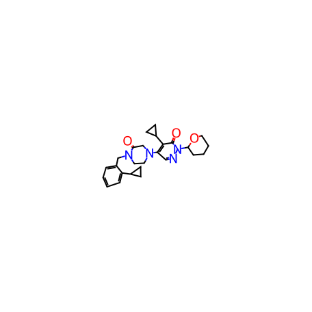 O=C1CN(c2cnn(C3CCCCO3)c(=O)c2C2CC2)CCN1Cc1ccccc1C1CC1